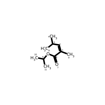 CC(=CC(C)C)C(=O)OC(C)C